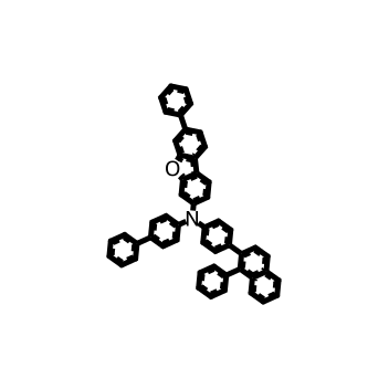 c1ccc(-c2ccc(N(c3ccc(-c4ccc5ccccc5c4-c4ccccc4)cc3)c3ccc4c(c3)oc3cc(-c5ccccc5)ccc34)cc2)cc1